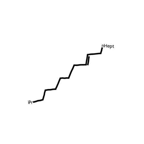 CCCCCCCCC=CCCCCCCC(C)C